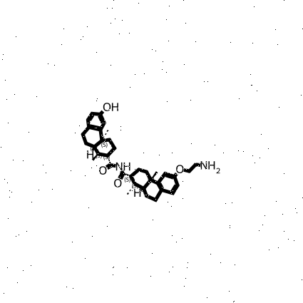 C[C@@H]1[C@@H](C(=O)NC(=O)[C@H]2CC[C@]3(C)c4cc(OCCN)ccc4CC[C@H]3[C@@H]2C)CC[C@]2(C)c3cc(O)ccc3CC[C@@H]12